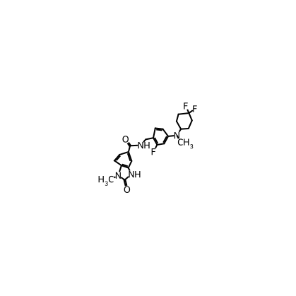 CN(c1ccc(CNC(=O)c2ccc3c(c2)[nH]c(=O)n3C)c(F)c1)C1CCC(F)(F)CC1